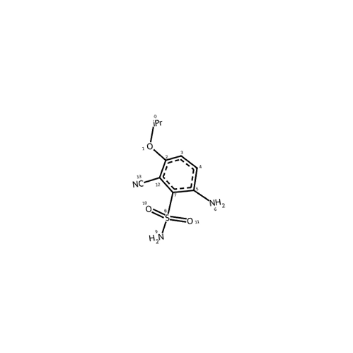 CC(C)Oc1ccc(N)c(S(N)(=O)=O)c1C#N